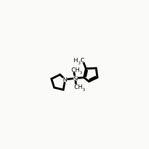 CC1=C([Si](C)(C)N2CCCC2)C=CC1